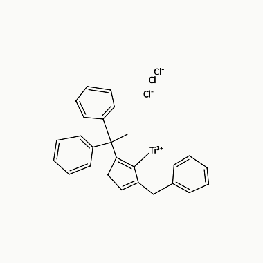 CC(C1=[C]([Ti+3])C(Cc2ccccc2)=CC1)(c1ccccc1)c1ccccc1.[Cl-].[Cl-].[Cl-]